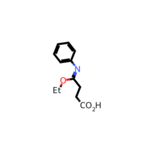 CCOC(CCC(=O)O)=Nc1ccccc1